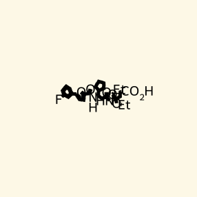 CCOC(CCC(=O)O)(NC(=O)CC(NC(=O)c1ccc(-c2cccc(F)c2)o1)C1CCCC1)OCC